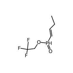 CCC=C[PH](=O)OCC(F)(F)F